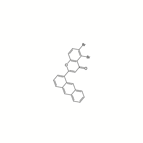 O=c1cc(-c2cccc3cc4ccccc4cc23)oc2ccc(Br)c(Br)c12